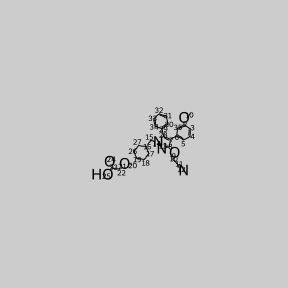 COc1cccc(-c2c(OCC#N)nn(C[C@H]3CC[C@H](COCC(=O)O)CC3)c2-c2ccccc2)c1